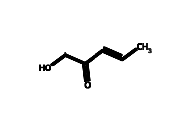 CC=CC(=O)[CH]O